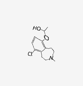 CC(O)Oc1ccc(Cl)c2c1CCN(C)CC2